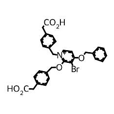 O=C(O)Cc1ccc(COc2c(Br)c(OCc3ccccc3)cc[n+]2Cc2ccc(CC(=O)O)cc2)cc1